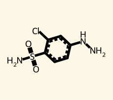 NNc1ccc(S(N)(=O)=O)c(Cl)c1